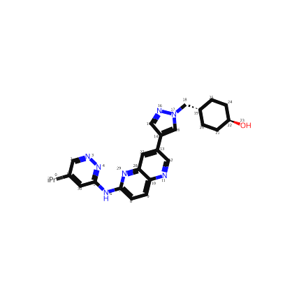 CC(C)c1cnnc(Nc2ccc3ncc(-c4cnn(C[C@H]5CC[C@H](O)CC5)c4)cc3n2)c1